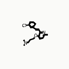 Cc1ccc(OCCCN(C)C)c(/C=C/c2cccc(Cl)c2)n1